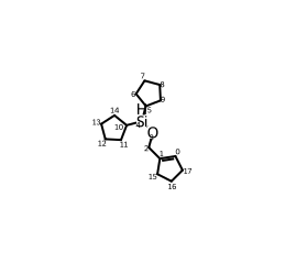 C1=C(CO[SiH](C2CCCC2)C2CCCC2)CCC1